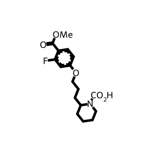 COC(=O)c1ccc(OCCCC2CCCCN2C(=O)O)cc1F